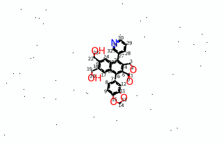 O=C1OCc2c1c(-c1ccc3c(c1)OCO3)c1cc(CO)c(CO)cc1c2-c1cccnc1